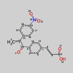 C=C(C(=O)c1ccc(/C=C/C(=O)O)cc1)c1ccc([N+](=O)[O-])cc1